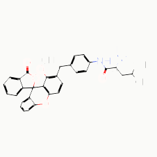 COc1c(Cc2ccc(NC(=O)[C@@H](N)CC(C)C)cc2)ccc2c1C1(OC(=O)c3ccccc31)c1ccccc1O2